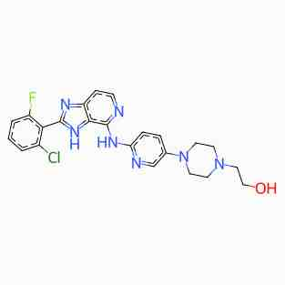 OCCN1CCN(c2ccc(Nc3nccc4nc(-c5c(F)cccc5Cl)[nH]c34)nc2)CC1